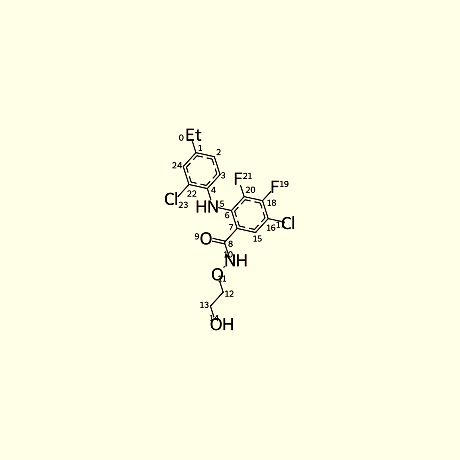 CCc1ccc(Nc2c(C(=O)NOCCO)cc(Cl)c(F)c2F)c(Cl)c1